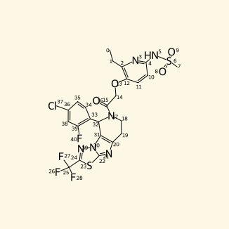 CCc1nc(NS(C)(=O)=O)ccc1OCC(=O)N1CCc2nc3sc(C(F)(F)F)nn3c2C1c1ccc(Cl)cc1F